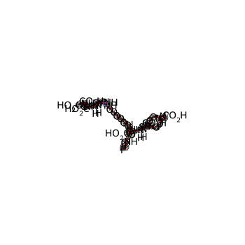 N=N/C(=C\NCCOCCOCCOCCOCCOCCOCCC(=O)N[C@@H](CCCCNC(=S)Nc1cc(CN2CCOCCOCCN(Cc3cccc(C(=O)O)n3)CCOCCOCC2)nc(C(=O)O)c1)C(=O)N[C@@H](CCCCNC(=O)Cc1ccc(I)cc1)C(=O)O)c1cccc(NC(=O)NCCCC[C@H](NC(=O)NC(CCC(=O)O)C(=O)O)C(=O)O)c1